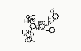 CCS(=O)(=O)Nc1cc(C(=O)N[C@@H](Cc2ccccc2)[C@H](O)CNCc2cccc(OC)c2)cc(C(=O)N[C@H](C)c2nc(C)co2)c1